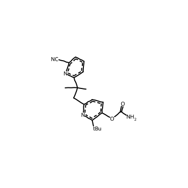 CC(C)(C)c1nc(CC(C)(C)c2cccc(C#N)n2)ccc1OC(N)=O